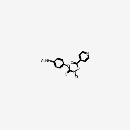 CCN(OC(=O)c1ccncc1)C(=O)Oc1ccc(NC(C)=O)cc1